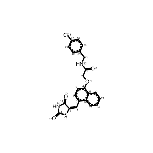 O=C(COc1ccc(/C=C2/SC(=O)NC2=O)c2ccccc12)NCc1ccc(Cl)cc1